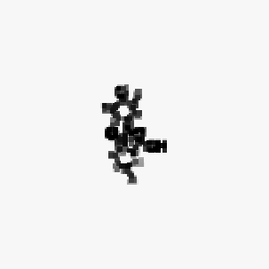 Cc1cc(NC(=O)C2CCC(C)CC2C(=O)O)ccc1Cl